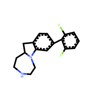 Fc1cccc(F)c1-c1ccc2c(c1)N1CCNCCC1C2